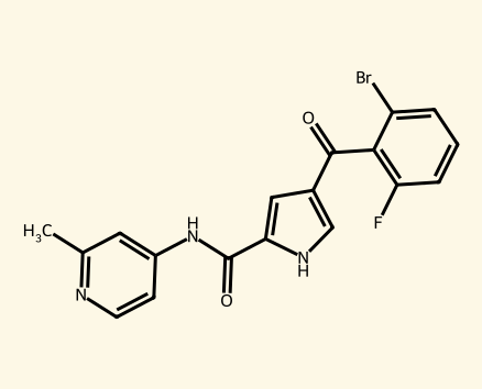 Cc1cc(NC(=O)c2cc(C(=O)c3c(F)cccc3Br)c[nH]2)ccn1